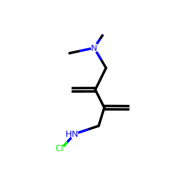 C=C(CNCl)C(=C)CN(C)C